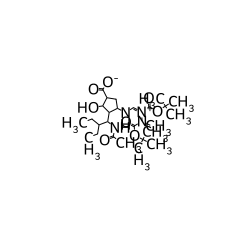 CCC(CC)C(NC(C)=O)C1C(NC=[N+](C(=O)OC(C)(C)C)N(C)C(=O)OC(C)(C)C)CC(C(=O)[O-])C1O